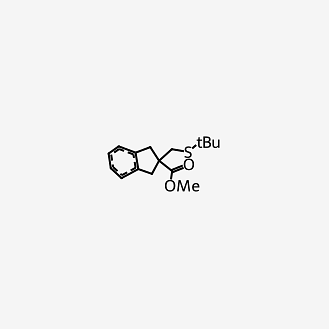 COC(=O)C1(CSC(C)(C)C)Cc2ccccc2C1